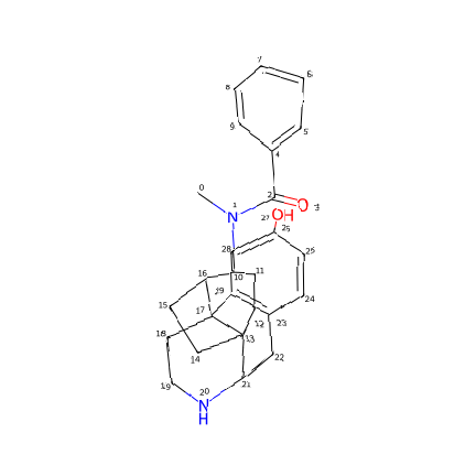 CN(C(=O)c1ccccc1)C1CCC23CCC1C21CCNC3Cc2ccc(O)cc21